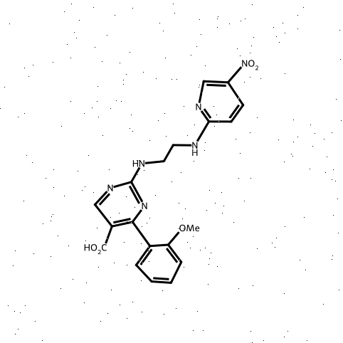 COc1ccccc1-c1nc(NCCNc2ccc([N+](=O)[O-])cn2)ncc1C(=O)O